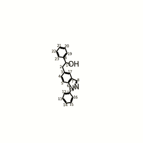 OC(Cc1ccc2c(cnn2-c2ccccc2)c1)c1ccccc1